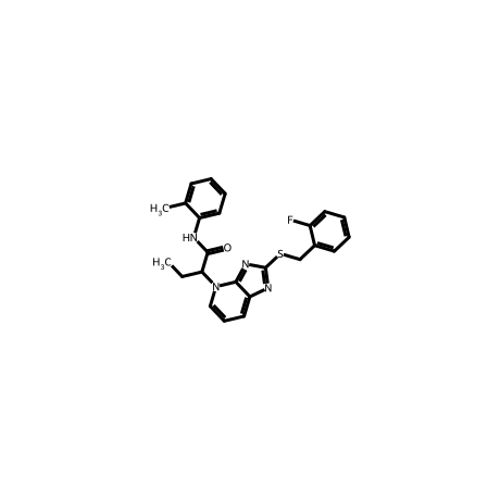 CCC(C(=O)Nc1ccccc1C)n1cccc2nc(SCc3ccccc3F)nc1-2